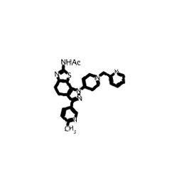 CC(=O)Nc1nc2c(s1)-c1c(c(-c3ccc(C)nc3)nn1C1CCN(Cc3ccccn3)CC1)CC2